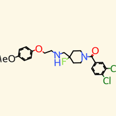 COc1ccc(OCCNCC2(F)CCN(C(=O)c3ccc(Cl)c(Cl)c3)CC2)cc1